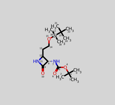 CC(C)(C)OC(=O)N[C@@H]1C(=O)NC1CCO[Si](C)(C)C(C)(C)C